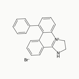 [Br-].c1ccc(-c2cccc3c2c2ccccc2c2[n+]3CCN2)cc1